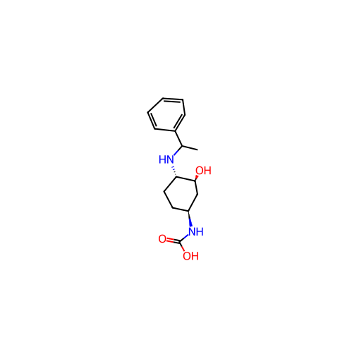 CC(N[C@H]1CC[C@H](NC(=O)O)C[C@@H]1O)c1ccccc1